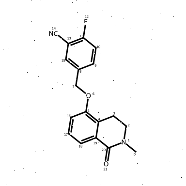 CN1CCc2c(OCc3ccc(F)c(C#N)c3)cccc2C1=O